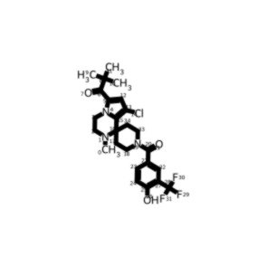 CN1CCn2c(C(=O)C(C)(C)C)cc(Cl)c2C12CCN(C(=O)c1ccc(O)c(C(F)(F)F)c1)CC2